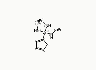 CCC[NH][Zr]([NH]CCC)([NH]CCC)[C]1=CC=CC1